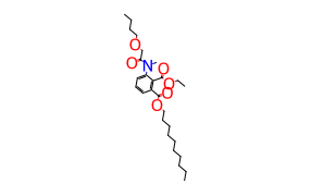 CCCCCCCCCCOC(=O)c1cccc(N(C)C(=O)COCCCC)c1C(=O)OCC